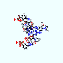 CCN(CC)c1cc(Nc2nc(Nc3cc(N(CC)CC)c(OC)cc3/N=N/c3nc(N4CCCCC4)c(C(C(C)=O)C(=O)Nc4cccc(S(=O)(=O)O)c4)s3)nc(SCCO)n2)c(/N=N/c2nc(N3CCCCC3)c(/C=C(\C(C)=O)C(=O)Nc3cccc(S(=O)(=O)O)c3)s2)cc1OC